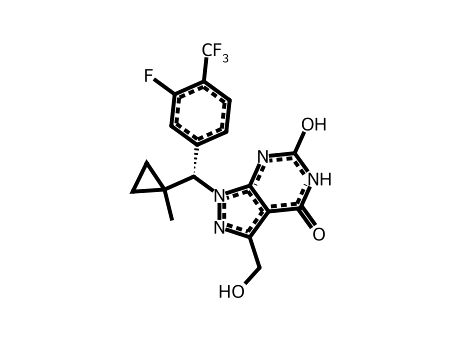 CC1([C@H](c2ccc(C(F)(F)F)c(F)c2)n2nc(CO)c3c(=O)[nH]c(O)nc32)CC1